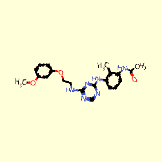 COc1cccc(OCCNc2ncnc(Nc3cccc(NC(C)=O)c3C)n2)c1